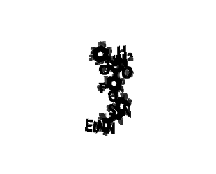 CCn1cnc(-c2cc3nccc(Oc4ccc(C(C(N)=O)C(=O)Nc5ccccc5)cc4F)c3s2)c1